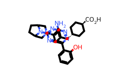 Nc1nnc(-c2ccccc2O)cc1N1CC2CCC(C1)N2c1ncc(C[C@H]2CC[C@H](C(=O)O)CC2)cn1